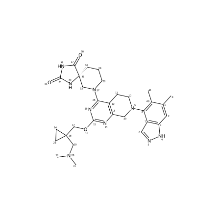 Cc1cc2[nH]ncc2c(N2CCc3c(nc(OCC4(CN(C)C)CC4)nc3N3CCC[C@]4(C3)NC(=O)NC4=O)C2)c1C